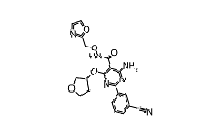 N#Cc1cccc(-c2nc(N)c(C(=O)NOCc3ncco3)c(OC3CCOC3)n2)c1